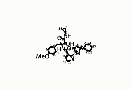 COc1ccc(CC(NC(=O)c2cccnc2-n2ccc(-c3ccccc3)n2)C(O)C(=O)NC2CC2)cc1